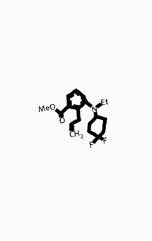 C=CCc1c(C(=O)OC)cccc1N(CC)C1CCC(F)(F)CC1